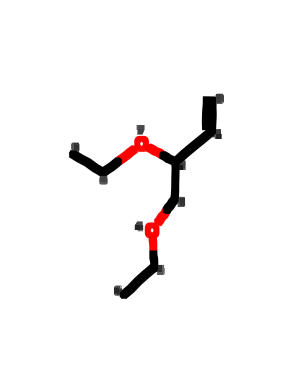 C=[C]C(COCC)OCC